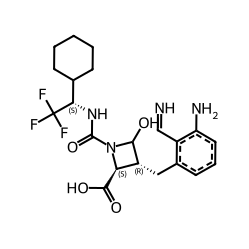 N=Cc1c(N)cccc1C[C@H]1C(O)N(C(=O)N[C@@H](C2CCCCC2)C(F)(F)F)[C@@H]1C(=O)O